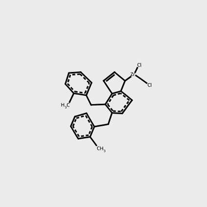 Cc1ccccc1Cc1ccc2c(c1Cc1ccccc1C)C=C[CH]2[Zr]([Cl])[Cl]